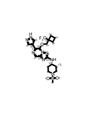 C[C@@H]1CN(S(C)(=O)=O)CC[C@@H]1Nc1nc2cnc(-c3cn[nH]c3)c(OCC3(C(F)(F)F)CCC3)n2n1